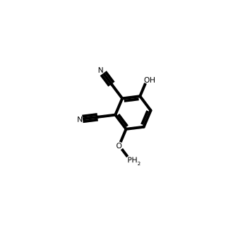 N#Cc1c(O)ccc(OP)c1C#N